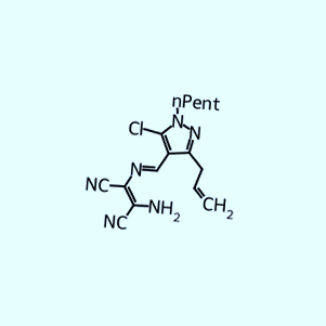 C=CCc1nn(CCCCC)c(Cl)c1C=NC(C#N)=C(N)C#N